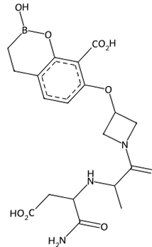 CC(NC(CC(=O)O)C(N)=O)C(=O)N1CC(Oc2ccc3c(c2C(=O)O)OB(O)CC3)C1